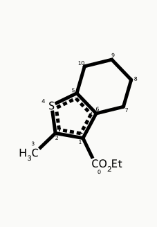 CCOC(=O)c1c(C)sc2c1CCCC2